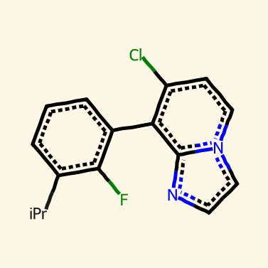 CC(C)c1cccc(-c2c(Cl)ccn3ccnc23)c1F